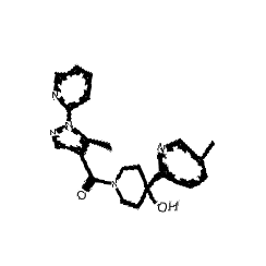 Cc1ccc(C2(O)CCN(C(=O)c3cnn(-c4ccccn4)c3C)CC2)nc1